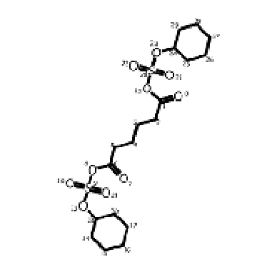 O=C(CCCCC(=O)OS(=O)(=O)OC1CCCCC1)OS(=O)(=O)OC1CCCCC1